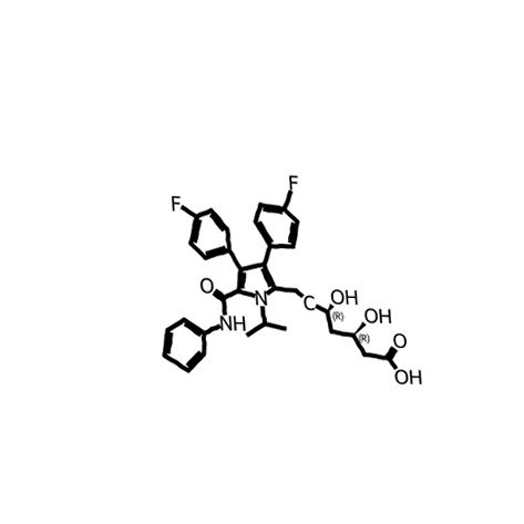 CC(C)n1c(CC[C@@H](O)C[C@@H](O)CC(=O)O)c(-c2ccc(F)cc2)c(-c2ccc(F)cc2)c1C(=O)Nc1ccccc1